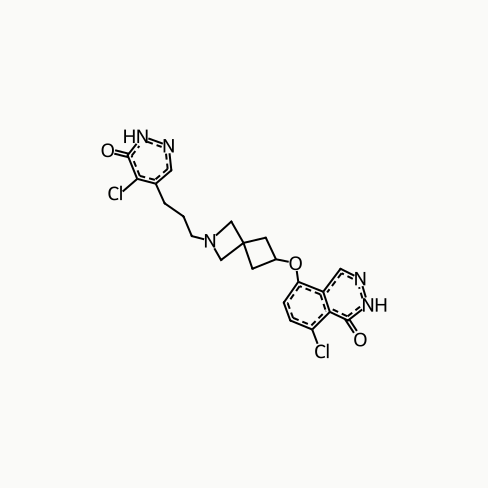 O=c1[nH]ncc(CCCN2CC3(CC(Oc4ccc(Cl)c5c(=O)[nH]ncc45)C3)C2)c1Cl